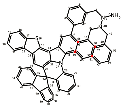 NN(Cc1cccc(-c2ccc3c(c2)c2c4sc5ccccc5c4cc4c2n3-c2ccccc2C42c3ccccc3-c3ccccc32)c1)N(Cc1ccccc1)Cc1ccccc1